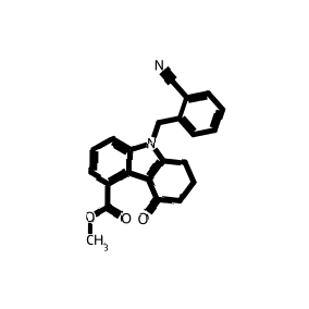 COC(=O)c1cccc2c1c1c(n2Cc2ccccc2C#N)CCCC1=O